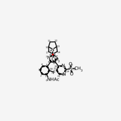 CC(=O)Nc1cccc(-c2nc(N3C4CCC3CN(C)C4)sc2-c2ccnc(S(C)(=O)=O)n2)c1F